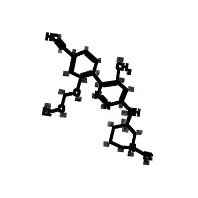 C#Cc1ccc(-c2nnc(N[C@@H]3CCCN(CC)C3)cc2C)c(OCOCC)c1